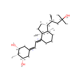 C[C@@H]1[C@H](O)C/C(=C\C=C2/CCC[C@@]3(C)[C@@H]2CC[C@@H]3[C@@H](C)CC(C)(C)O)C[C@@H]1O